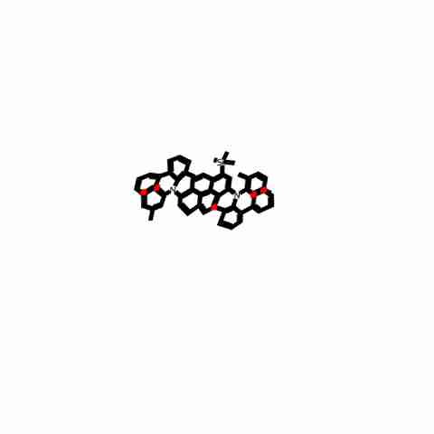 Cc1ccc(C)c(N(c2c(C)cccc2-c2ccccc2)c2ccc3ccc4c(N(c5cc(C)ccc5C)c5c(C)cccc5-c5ccccc5)cc([Si](C)(C)C)c5ccc2c3c45)c1